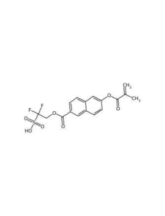 C=C(C)C(=O)Oc1ccc2cc(C(=O)OCC(F)(F)S(=O)(=O)O)ccc2c1